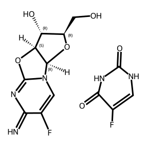 N=c1nc2n(cc1F)[C@@H]1O[C@H](CO)[C@@H](O)[C@@H]1O2.O=c1[nH]cc(F)c(=O)[nH]1